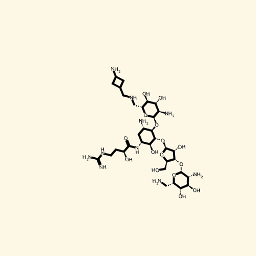 N=C(N)NCC[C@H](O)C(=O)N[C@@H]1C[C@H](N)[C@@H](O[C@H]2O[C@H](CNCC3CC(N)C3)[C@@H](O)[C@H](O)[C@H]2N)[C@H](O[C@@H]2O[C@H](CO)[C@@H](O[C@H]3O[C@@H](CN)[C@@H](O)[C@H](O)[C@H]3N)[C@H]2O)[C@H]1O